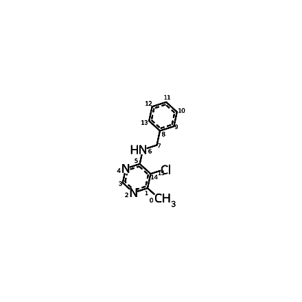 Cc1ncnc(NCc2ccccc2)c1Cl